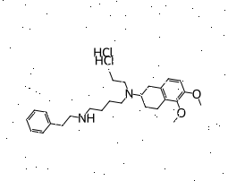 CCCN(CCCCNCCc1ccccc1)C1CCc2c(ccc(OC)c2OC)C1.Cl.Cl